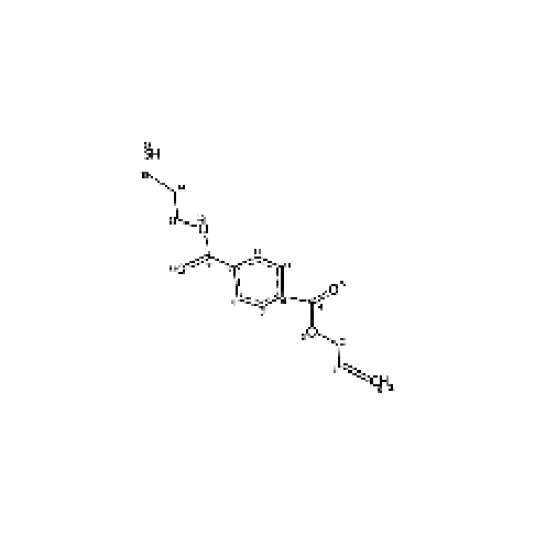 C=CCOC(=O)c1ccc(C(=O)OCCCS)cc1